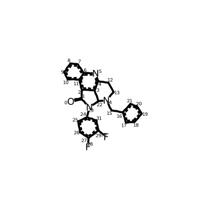 O=C1c2c3c(nc4ccccc24)CCN(Cc2ccccc2)C3N1c1ccc(F)c(F)c1